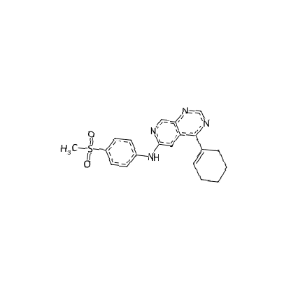 CS(=O)(=O)c1ccc(Nc2cc3c(C4=CCCCC4)ncnc3cn2)cc1